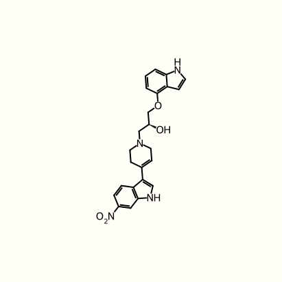 O=[N+]([O-])c1ccc2c(C3=CCN(C[C@H](O)COc4cccc5[nH]ccc45)CC3)c[nH]c2c1